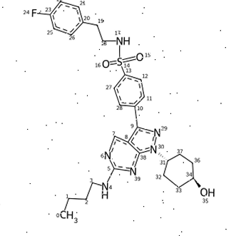 CCCCNc1ncc2c(-c3ccc(S(=O)(=O)NCCc4ccc(F)cc4)cc3)nn([C@H]3CC[C@H](O)CC3)c2n1